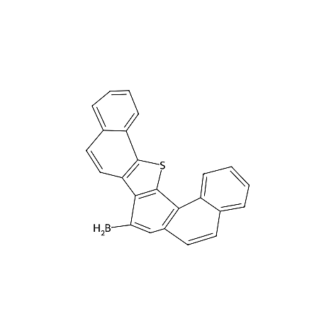 Bc1cc2ccc3ccccc3c2c2sc3c4ccccc4ccc3c12